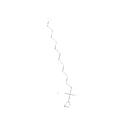 CC(C)(CCCCCCCCCCCCN)C1CO1.Cl